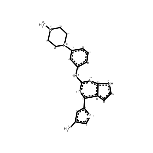 Cc1csc(-c2nc(Nc3cccc(N4CCN(C)CC4)c3)nc3[nH]ccc23)c1